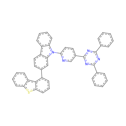 c1ccc(-c2nc(-c3ccccc3)nc(-c3ccc(-n4c5ccccc5c5ccc(-c6cccc7sc8ccccc8c67)cc54)nc3)n2)cc1